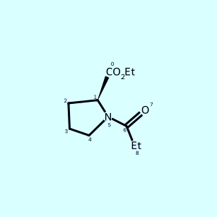 CCOC(=O)[C@@H]1CCCN1C(=O)CC